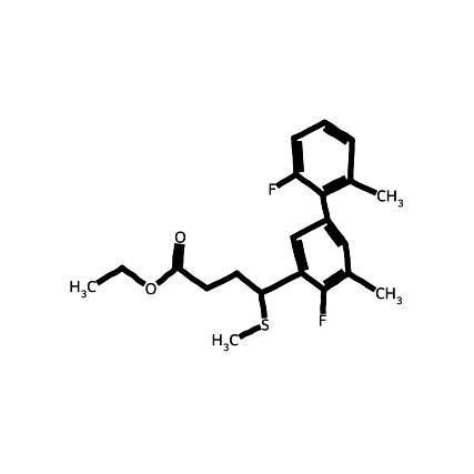 CCOC(=O)CCC(SC)c1cc(-c2c(C)cccc2F)cc(C)c1F